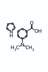 CN(C)c1cccc(C(=O)O)c1.c1cc[nH]c1